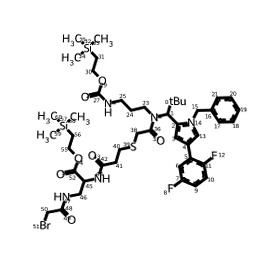 CC(C)(C)C(c1cc(-c2cc(F)ccc2F)cn1Cc1ccccc1)N(CCCNC(=O)OCC[Si](C)(C)C)C(=O)CSCCC(=O)NC(CNC(=O)CBr)C(=O)OCC[Si](C)(C)C